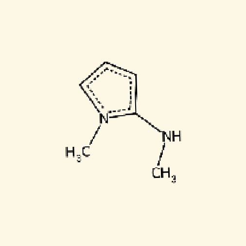 CNc1cccn1C